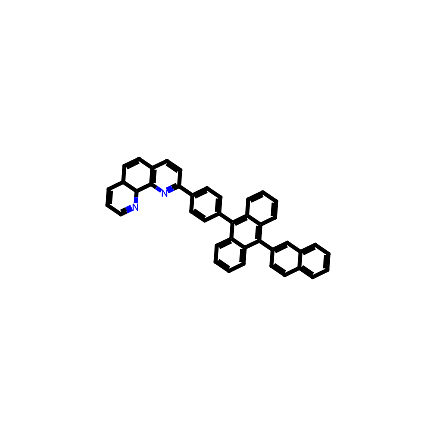 C1=CC2C=Cc3ccc(-c4ccc(-c5c6ccccc6c(-c6ccc7ccccc7c6)c6ccccc56)cc4)nc3C2N=C1